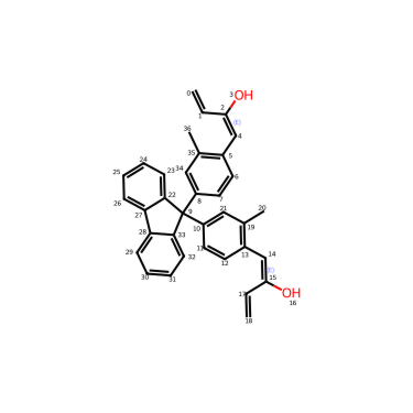 C=C/C(O)=C\c1ccc(C2(c3ccc(/C=C(/O)C=C)c(C)c3)c3ccccc3-c3ccccc32)cc1C